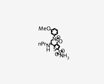 CCCN[C@@H]1CN(c2cccc(OC)c2)S(=O)(=O)c2cc(S(N)(=O)=O)sc21